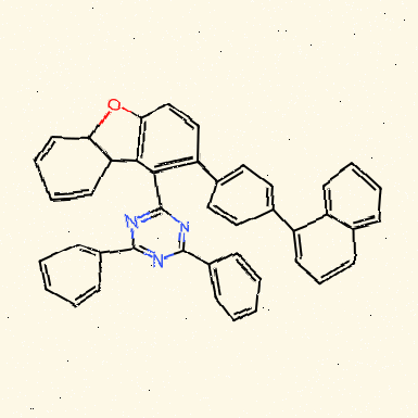 C1=CC2Oc3ccc(-c4ccc(-c5cccc6ccccc56)cc4)c(-c4nc(-c5ccccc5)nc(-c5ccccc5)n4)c3C2C=C1